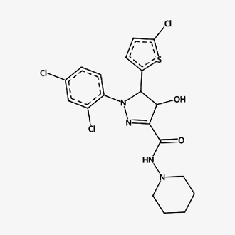 O=C(NN1CCCCC1)C1=NN(c2ccc(Cl)cc2Cl)C(c2ccc(Cl)s2)C1O